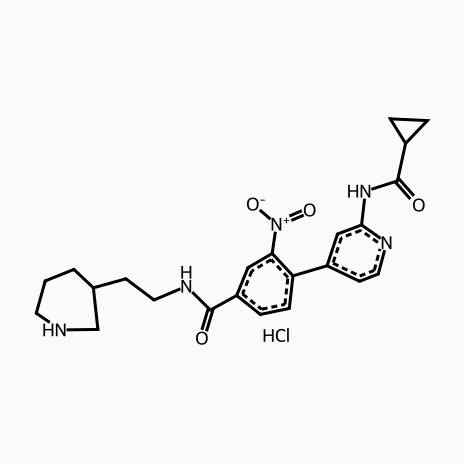 Cl.O=C(NCCC1CCCNC1)c1ccc(-c2ccnc(NC(=O)C3CC3)c2)c([N+](=O)[O-])c1